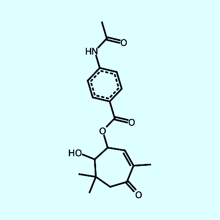 CC(=O)Nc1ccc(C(=O)OC2C=C(C)C(=O)CC(C)(C)C2O)cc1